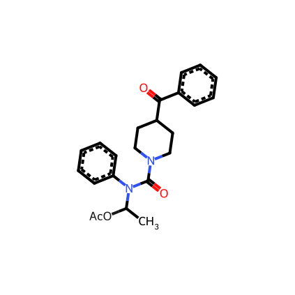 CC(=O)OC(C)N(C(=O)N1CCC(C(=O)c2ccccc2)CC1)c1ccccc1